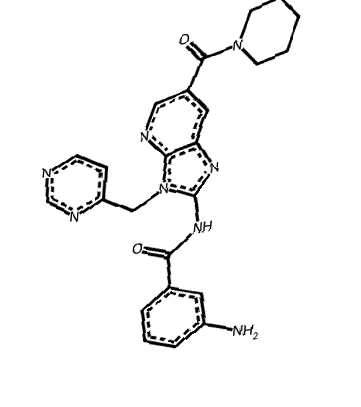 Nc1cccc(C(=O)Nc2nc3cc(C(=O)N4CCCCC4)cnc3n2Cc2ccncn2)c1